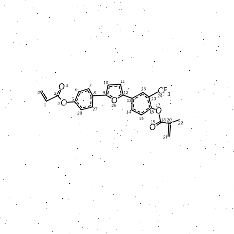 C=CC(=O)Oc1ccc(-c2ccc(-c3ccc(OC(=O)C(=C)C)c(C(F)(F)F)c3)o2)cc1